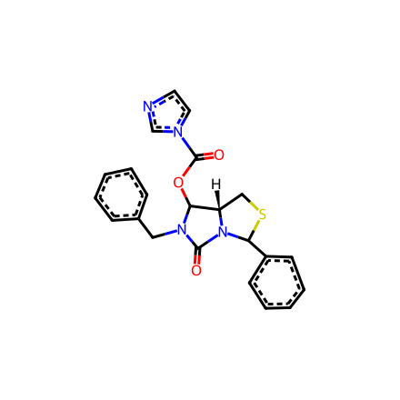 O=C1N(Cc2ccccc2)C(OC(=O)n2ccnc2)[C@@H]2CSC(c3ccccc3)N12